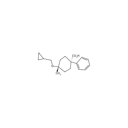 C[C@]1(OCC2CC2)CC[C@](C(=O)O)(c2ccccc2)CC1